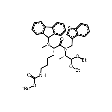 CCOC(OCC)[C@H](C)N(Cc1csc2ccccc12)C(=O)[C@H](CCCCNC(=O)OC(C)(C)C)N(C)C1c2ccccc2-c2ccccc21